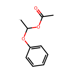 [CH2]C(OC(C)=O)Oc1ccccc1